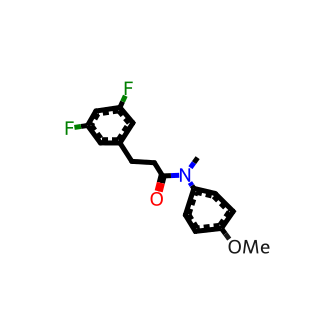 COc1ccc(N(C)C(=O)CCc2cc(F)cc(F)c2)cc1